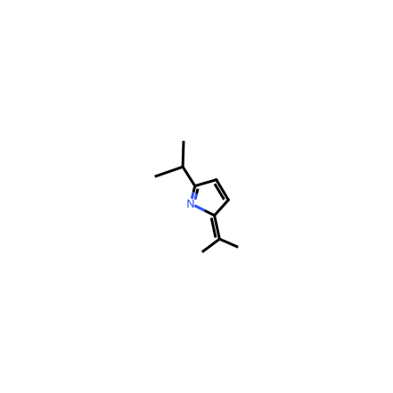 CC(C)=C1C=CC(C(C)C)=N1